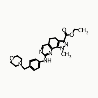 CCOC(=O)c1nn(C)c2c1CCc1cnc(Nc3ccc(CN4CCOCC4)cc3)nc1-2